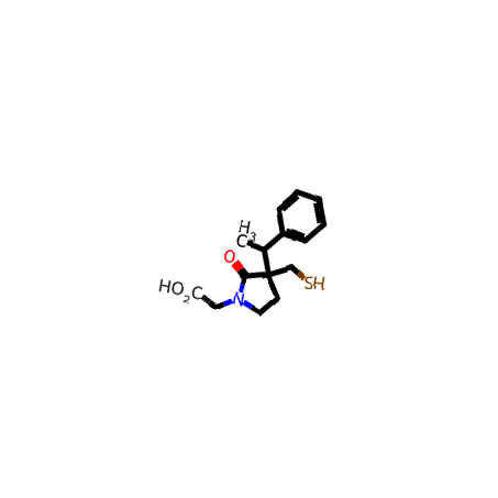 CC(c1ccccc1)C1(CS)CCN(CC(=O)O)C1=O